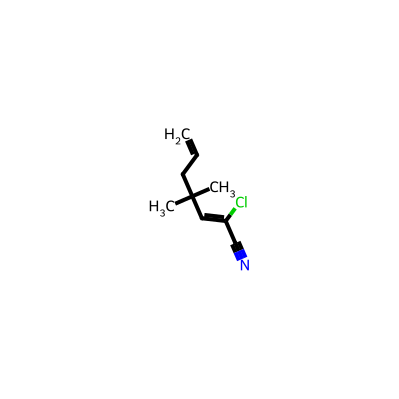 C=CCC(C)(C)C=C(Cl)C#N